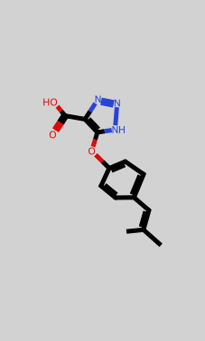 CC(C)=Cc1ccc(Oc2[nH]nnc2C(=O)O)cc1